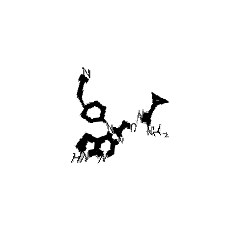 N#CC[C@H]1CC[C@@H](n2c(CO/N=C(\N)C3CC3)nc3cnc4[nH]ccc4c32)CC1